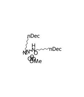 CCCCCCCCCCCCCCCCCC(=O)NCC[N+]1=C(CCCCCCCCCCCCCCCCC)N(C)CC1.COS(=O)(=O)[O-]